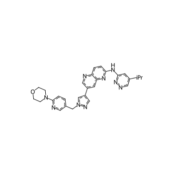 CC(C)c1cnnc(Nc2ccc3ncc(-c4cnn(Cc5ccc(N6CCOCC6)nc5)c4)cc3n2)c1